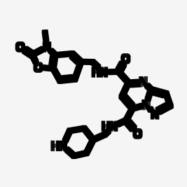 Cn1c(=O)oc2ccc(CNC(=O)c3cc(C(=O)NCC4CCNCC4)n4nccc4n3)cc21